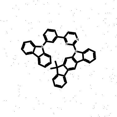 CC1(C)c2ccccc2-c2cc3c4ccccc4n(-c4nccc(-c5cccc(-n6c7ccccc7c7ccccc76)c5)n4)c3cc21